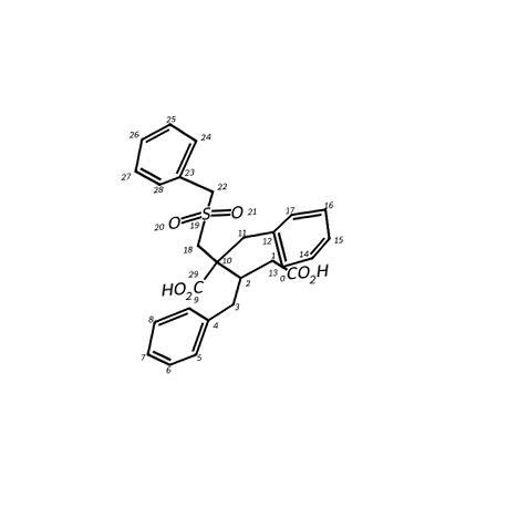 O=C(O)CC(Cc1ccccc1)C(Cc1ccccc1)(CS(=O)(=O)Cc1ccccc1)C(=O)O